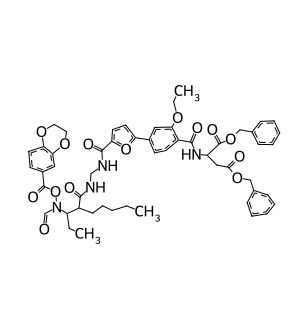 CCCCCC(C(=O)NCNC(=O)c1ccc(-c2ccc(C(=O)NC(CC(=O)OCc3ccccc3)C(=O)OCc3ccccc3)c(OCC)c2)o1)C(CC)N(C=O)OC(=O)c1ccc2c(c1)OCCO2